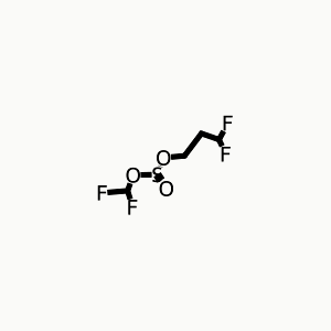 O=S(OCCC(F)F)OC(F)F